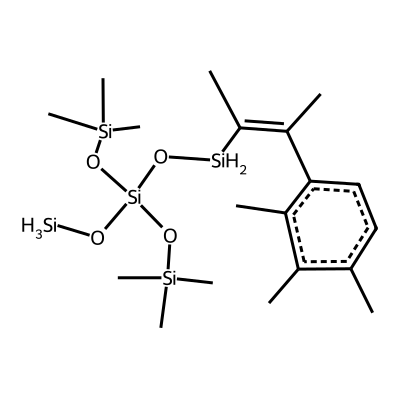 CC([SiH2]O[Si](O[SiH3])(O[Si](C)(C)C)O[Si](C)(C)C)=C(C)c1ccc(C)c(C)c1C